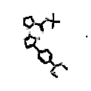 COB(OC)c1ccc(-c2cnc([C@@H]3CCCN3C(=O)OC(C)(C)C)[nH]2)cc1